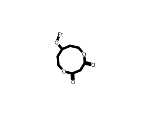 CCOC1CCOC(=O)CC(=O)OCC1